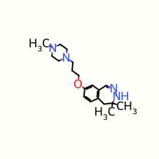 CN1CCN(CCCOc2ccc3c(c2)C=NNC(C)(C)C3)CC1